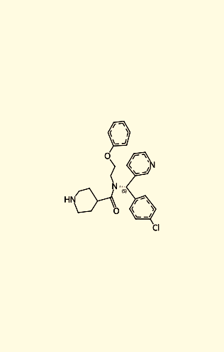 O=C(C1CCNCC1)N(CCOc1ccccc1)[C@@H](c1ccc(Cl)cc1)c1cccnc1